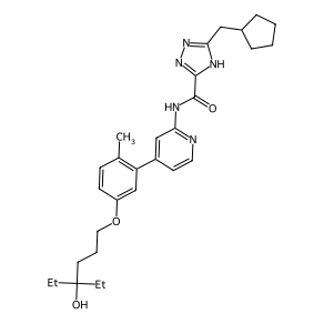 CCC(O)(CC)CCCOc1ccc(C)c(-c2ccnc(NC(=O)c3nnc(CC4CCCC4)[nH]3)c2)c1